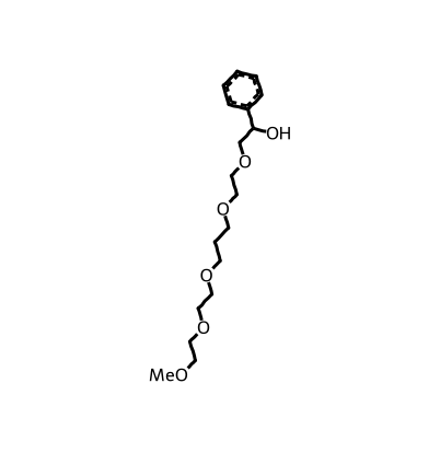 COCCOCCOCCCOCCOCC(O)c1ccccc1